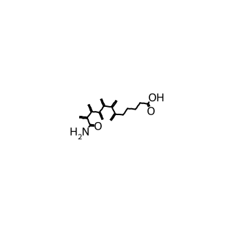 C=C(CCCCC(=O)O)C(=C)C(=C)C(=C)C(=C)C(=C)C(N)=O